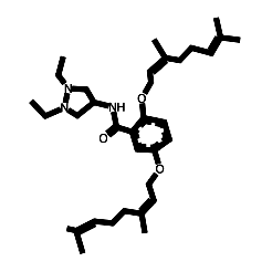 CCN1CC(NC(=O)c2cc(OCC=C(C)CCC=C(C)C)ccc2OCC=C(C)CCC=C(C)C)CN1CC